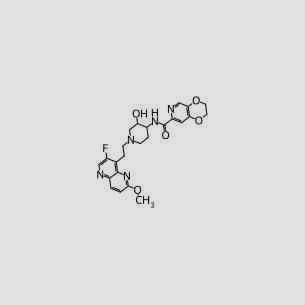 COc1ccc2ncc(F)c(CCN3CCC(NC(=O)c4cc5c(cn4)OCCO5)C(O)C3)c2n1